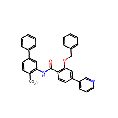 O=C(O)c1ccc(-c2ccccc2)cc1NC(=O)c1ccc(-c2cccnc2)cc1OCc1ccccc1